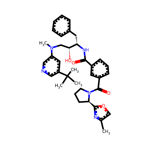 Cc1coc([C@H]2CCCN2C(=O)c2cccc(C(=O)N[C@@H](Cc3ccccc3)[C@H](O)CN(C)c3cncc(C(C)(C)C)c3)c2)n1